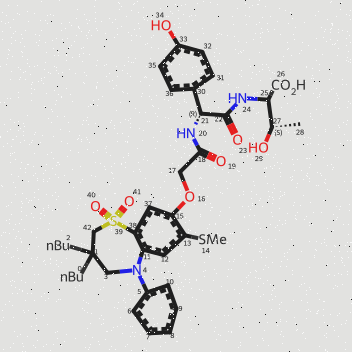 CCCCC1(CCCC)CN(c2ccccc2)c2cc(SC)c(OCC(=O)N[C@@H](C(=O)NC(C(=O)O)[C@H](C)O)c3ccc(O)cc3)cc2S(=O)(=O)C1